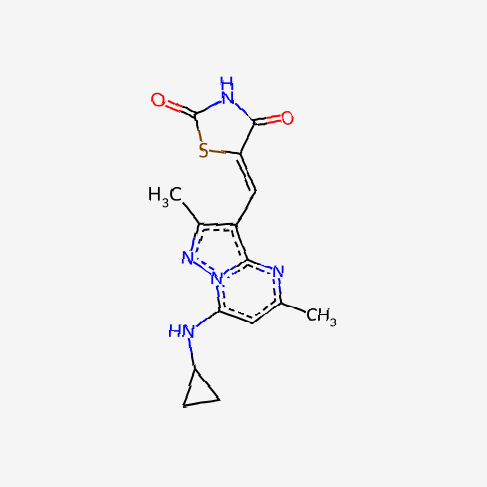 Cc1cc(NC2CC2)n2nc(C)c(/C=C3\SC(=O)NC3=O)c2n1